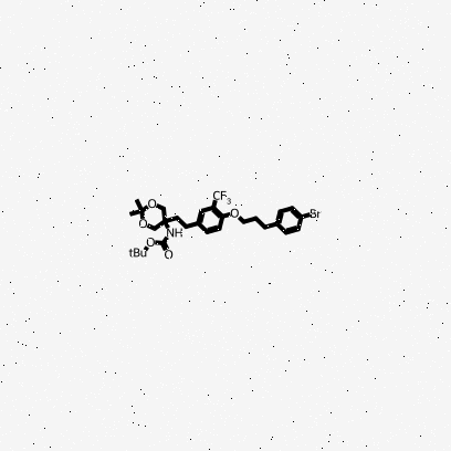 CC(C)(C)OC(=O)NC1(CCc2ccc(OCCCc3ccc(Br)cc3)c(C(F)(F)F)c2)COC(C)(C)OC1